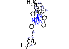 C=C1/C=C\C=C/C/C=C(c2cccc(-c3nc(-c4cccc(/C=C/C=C(\C=C/C)CC/C=C\C)c4)nc(-n4c5ccccc5c5ccc(C(=C)/C=C\CCC)c(NC6=CCCC=C6)c54)n3)c2)\C=C/1